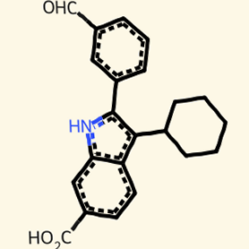 O=Cc1cccc(-c2[nH]c3cc(C(=O)O)ccc3c2C2CCCCC2)c1